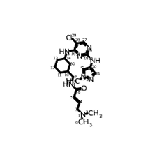 CN(C)CC=CC(=O)NCC1CCCC(Nc2nc(Nc3cnn(C)c3)ncc2Cl)C1